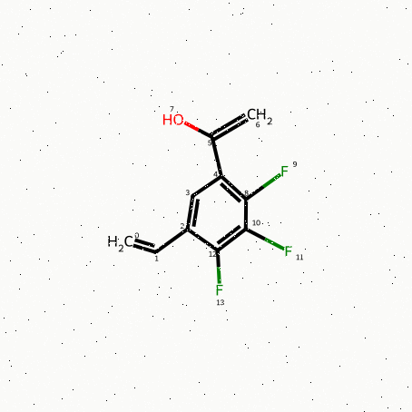 C=Cc1cc(C(=C)O)c(F)c(F)c1F